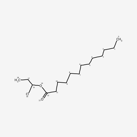 CCCCCCCCCCCCC(=O)OC(Cl)CC